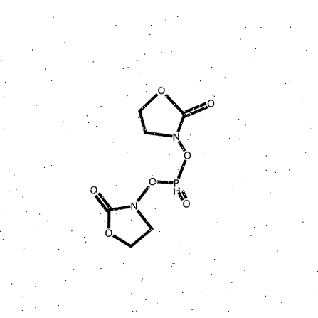 O=C1OCCN1O[PH](=O)ON1CCOC1=O